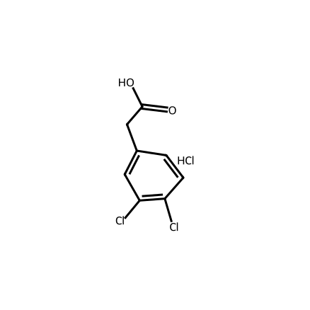 Cl.O=C(O)Cc1ccc(Cl)c(Cl)c1